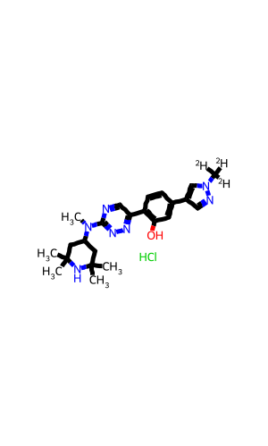 Cl.[2H]C([2H])([2H])n1cc(-c2ccc(-c3cnc(N(C)C4CC(C)(C)NC(C)(C)C4)nn3)c(O)c2)cn1